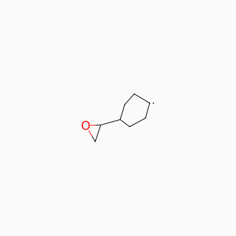 [CH]1CCC(C2CO2)CC1